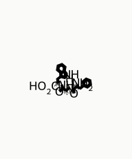 C[C@@H](NC(=O)[C@H](N)Cc1ccccc1)C(=O)N[C@@H](Cc1c[nH]c2ccccc12)C(=O)O